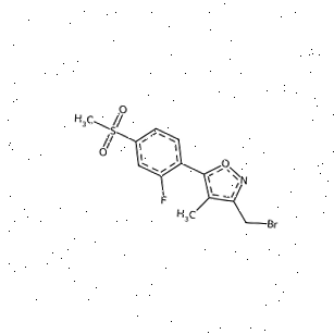 Cc1c(CBr)noc1-c1ccc(S(C)(=O)=O)cc1F